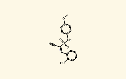 COc1ccc(NS(=O)(=O)/C(C#N)=C\c2ccccc2O)cc1